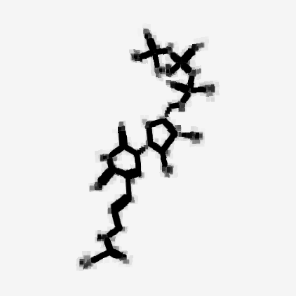 O=C1NC(=O)C([C@@H]2O[C@H](COP(=O)(O)OP(=O)(O)OP(=O)(O)O)[C@H](O)C2O)C=C1/C=C/CNC(=O)C(F)(F)F